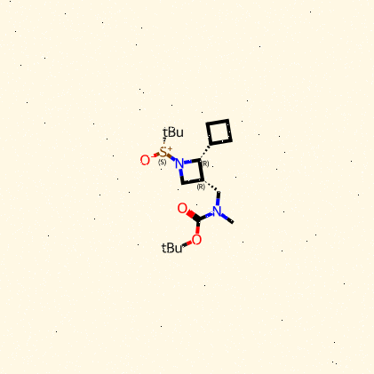 CN(C[C@@H]1CN([S@+]([O-])C(C)(C)C)[C@@H]1C1CCC1)C(=O)OC(C)(C)C